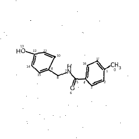 Cc1ccc(C(=O)NCc2ccc(O)cc2)cc1